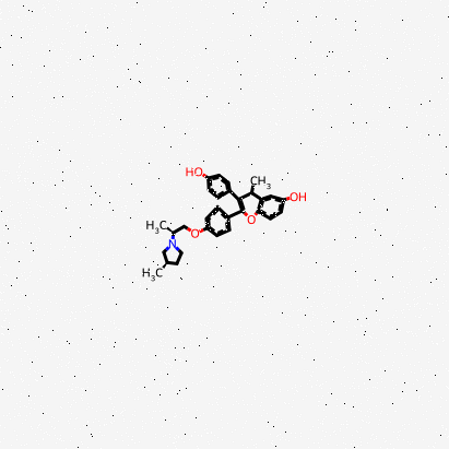 CC1C(c2ccc(O)cc2)=C(c2ccc(OC[C@H](C)N3CC[C@@H](C)C3)cc2)Oc2ccc(O)cc21